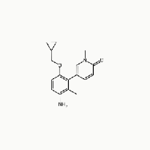 Cc1c(N)ccc(OCC2CC2)c1-c1ccc(=O)n(C)c1